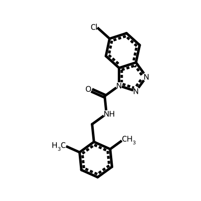 Cc1cccc(C)c1CNC(=O)n1nnc2ccc(Cl)cc21